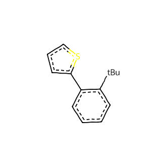 CC(C)(C)c1ccccc1-c1cccs1